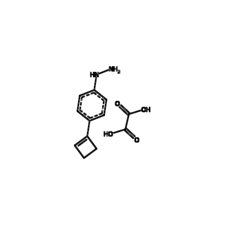 NNc1ccc(C2=CCC2)cc1.O=C(O)C(=O)O